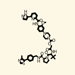 COc1cc(N2CCN(C(=O)OCC(=O)N[C@H](C(=O)N3CCC[C@H]3C(=O)NCc3ccc(-c4scnc4C)cc3)C(C)(C)C)CC2)ccc1NC(=O)c1cccc(-c2ccn[nH]2)n1